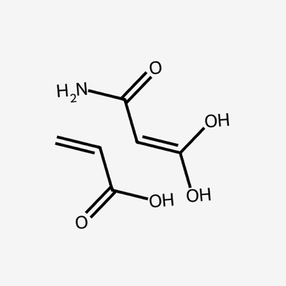 C=CC(=O)O.NC(=O)C=C(O)O